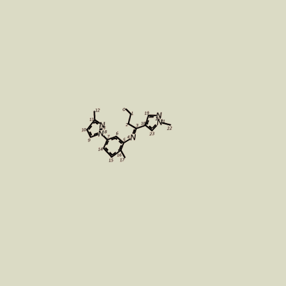 CCC/C(=N\c1cc(-n2ccc(C)n2)ccc1C)c1cnn(C)c1